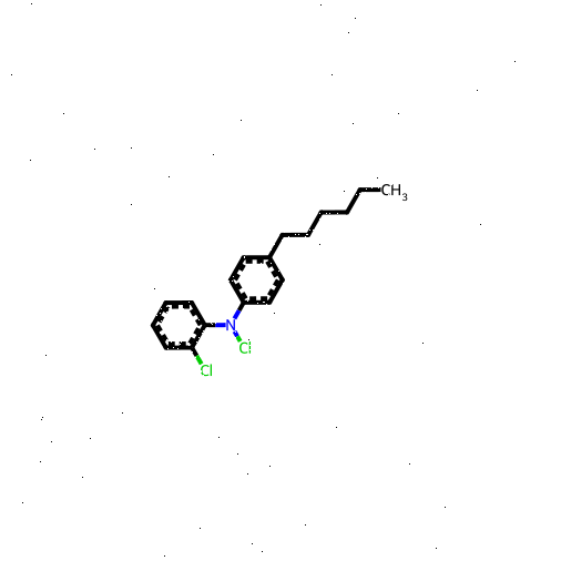 CCCCCCc1ccc(N(Cl)c2ccccc2Cl)cc1